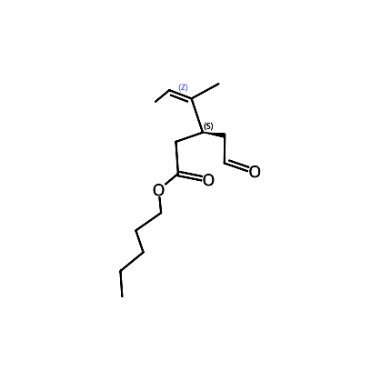 C/C=C(/C)[C@@H](CC=O)CC(=O)OCCCCC